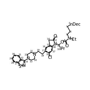 CCCCCCCCCCCCCN(CC)C(=O)OC(C(C)C)N1C(=O)Cc2cc(CCN3CCN(c4nsc5ccccc45)CC3)c(Cl)cc21